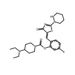 CCN(CC)C1CCN(C(=O)Oc2cc(F)ccc2/C=C2\SC(N3CCCCN3)=NC2=O)CC1